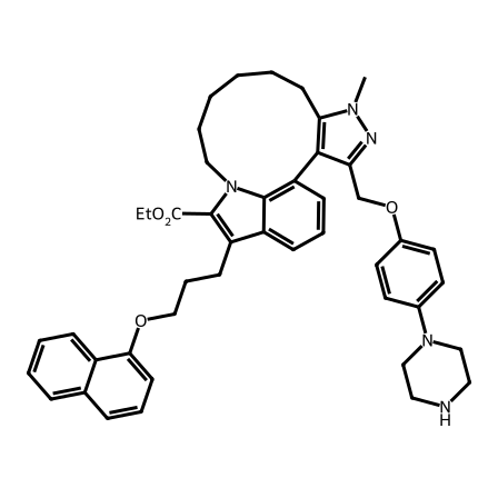 CCOC(=O)c1c(CCCOc2cccc3ccccc23)c2cccc3c2n1CCCCCCc1c-3c(COc2ccc(N3CCNCC3)cc2)nn1C